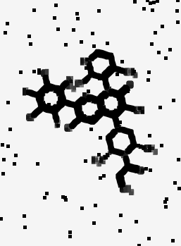 C=CC(=O)N1[C@H](C)CN(c2c(C#N)c(=O)n(C3=C(C)C=CN[C@@H]3C(C)C)c3nc(-c4c(N)c(Cl)c(F)c(Cl)c4F)c(Cl)cc23)C[C@@H]1C